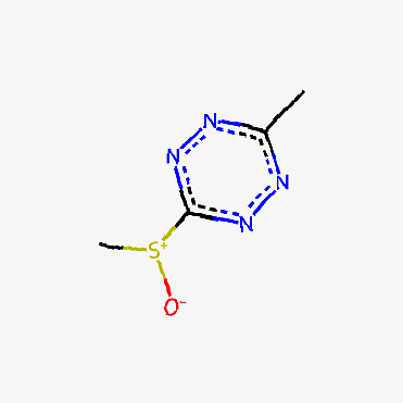 Cc1nnc([S+](C)[O-])nn1